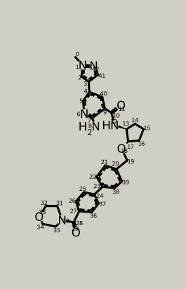 Cn1cc(-c2cnc(N)c(C(=O)N[C@H]3CCC[C@@H]3OCc3ccc(-c4ccc(C(=O)N5CCOCC5)cc4)cc3)c2)cn1